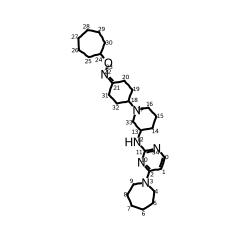 c1cc(N2CCCCCC2)nc(NC2CCCN(C3CCC(=NOC4CCCCCC4)CC3)C2)n1